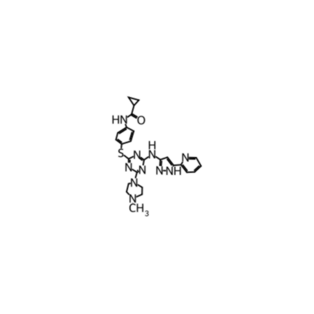 CN1CCN(c2nc(Nc3cc(-c4ccccn4)[nH]n3)nc(Sc3ccc(NC(=O)C4CC4)cc3)n2)CC1